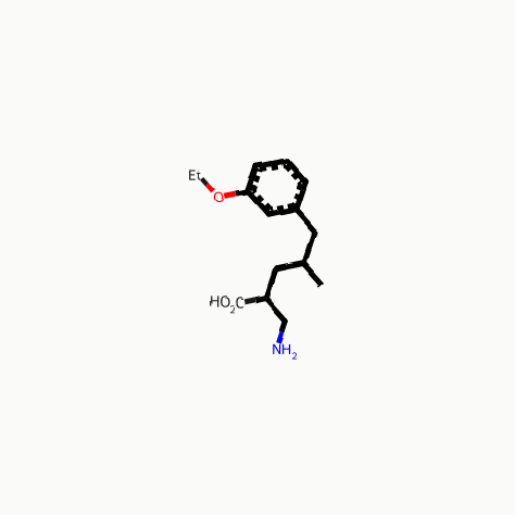 CCOc1cccc(CC(C)CC(CN)C(=O)O)c1